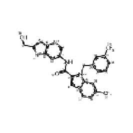 O=C(Nc1cnc2sc(CO)nc2c1)c1cc2ccc(C(F)(F)F)cc2n1Cc1cccc(C(F)(F)F)c1